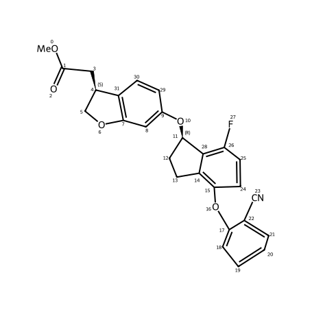 COC(=O)C[C@@H]1COc2cc(O[C@@H]3CCc4c(Oc5ccccc5C#N)ccc(F)c43)ccc21